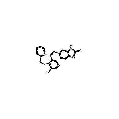 O=c1[nH]c2cc(C=C3c4ccccc4CCc4c(Cl)cccc43)ccc2o1